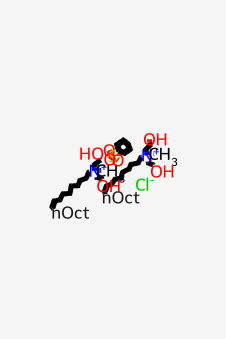 CCCCCCCC/C=C\CCCCCCCC[N+](C)(CCO)CCO.CCCCCCCC/C=C\CCCCCCCC[N+](C)(CCO)CCO.O=S(=O)([O-])c1ccccc1.[Cl-]